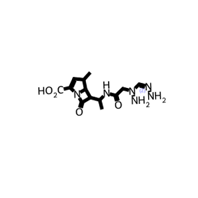 CC1C=C(C(=O)O)N2C(=O)C(C(C)NC(=O)CN(N)/C=N\N)C12